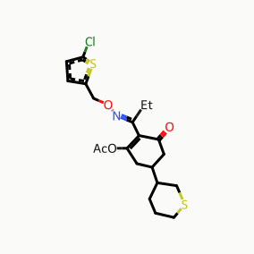 CCC(=NOCc1ccc(Cl)s1)C1=C(OC(C)=O)CC(C2CCCSC2)CC1=O